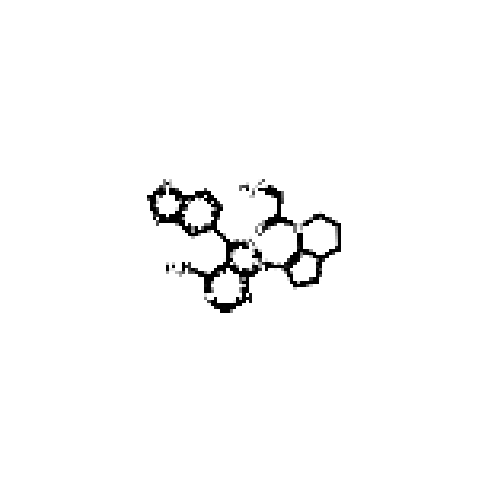 C=CC(=O)N1CCCC2CCC(n3nc(-c4ccc5ncsc5c4)c4c(N)ncnc43)=C21